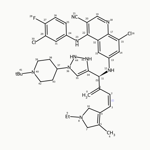 C=C(/C=C\C1=C(C)CN(CC)C1)[C@H](Nc1cc(Cl)c2ncc(C#N)c(Nc3ccc(F)c(Cl)c3)c2c1)C1=CN(C2CCN(C(C)(C)C)CC2)NN1